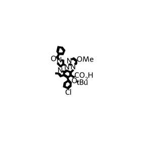 COc1cnc(N2c3c(C)c([C@H](OC(C)(C)C)C(=O)O)c(-c4ccc(Cl)cc4)c4cc(C)n(c34)C3CN(C(=O)c4ccccc4)CC32)nc1